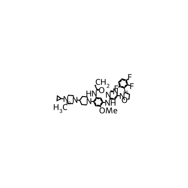 C=CC(=O)Nc1cc(Nc2cc(N3OCC[C@@H]3c3c(F)ccc(F)c3F)ncn2)c(OC)cc1N1CCC(N2CCN(C3CC3)[C@@H](C)C2)CC1